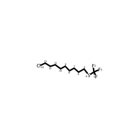 FC(F)(F)SCCCCCCCCCCl